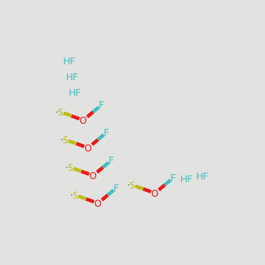 F.F.F.F.F.FO[S].FO[S].FO[S].FO[S].FO[S]